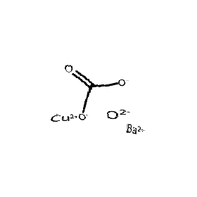 O=C([O-])[O-].[Ba+2].[Cu+2].[O-2]